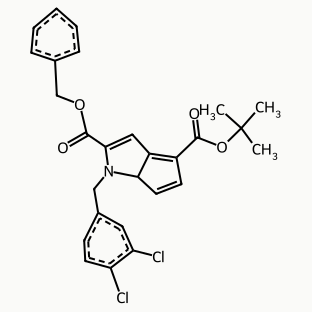 CC(C)(C)OC(=O)C1=C2C=C(C(=O)OCc3ccccc3)N(Cc3ccc(Cl)c(Cl)c3)C2C=C1